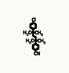 CC(C)(CCC(C)(C)c1ccc(C#N)cc1)c1ccc(Cl)cc1